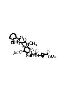 COC(=O)C12CC(NC(=O)c3csc(C(CC(C(C)C)N(C)C(=O)C(NC(=O)[C@H]4CCCCN4C)C(C)C)OC(C)=O)n3)(C1)C2